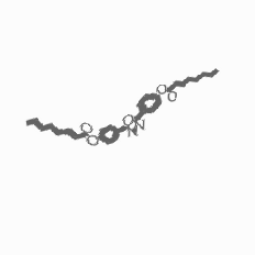 CCCCC/C=C/C(=O)Oc1ccc(-c2nnc(-c3ccc(OC(=O)/C=C/CCCCC)cc3)o2)cc1